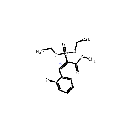 CCOP(=O)(OCC)/C(=C/c1ccccc1Br)C(=O)OC